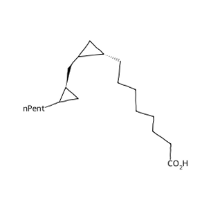 CCCCCC1C[C@@H]1CC1C[C@@H]1CCCCCCCC(=O)O